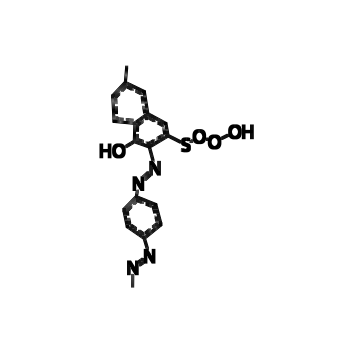 CN=Nc1ccc(N=Nc2c(SOOO)cc3cc(C)ccc3c2O)cc1